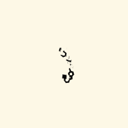 C=C1CCC2(CCC2)n2c1cc1ccc(C(=O)Nc3nc(C(=O)NC4CCN(CC(C)(C)C)CC4)cs3)cc12